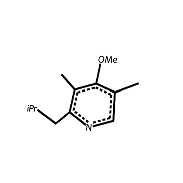 COc1c(C)cnc(CC(C)C)c1C